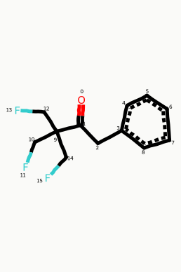 O=C(Cc1ccccc1)C(CF)(CF)CF